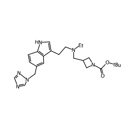 CCN(CCc1c[nH]c2ccc(Cn3cncn3)cc12)CC1CN(C(=O)OC(C)(C)C)C1